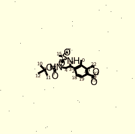 Cc1c(C(CNC(=O)OC(C)(C)C)NS(C)(=O)=O)ccc2c1COC2=O